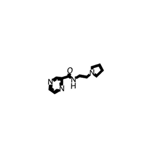 O=C(NCCN1CCCC1)c1cnccn1